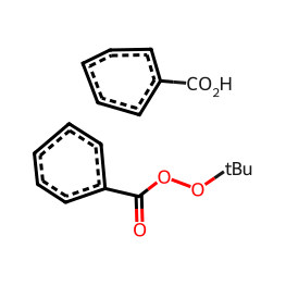 CC(C)(C)OOC(=O)c1ccccc1.O=C(O)c1ccccc1